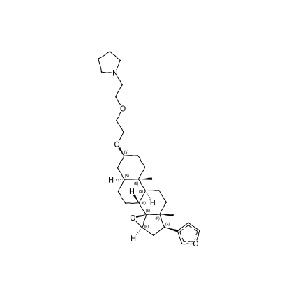 C[C@]12CC[C@H](OCCOCCN3CCCC3)C[C@@H]1CC[C@@H]1[C@@H]2CC[C@]2(C)[C@@H](c3ccoc3)C[C@H]3O[C@]132